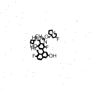 C#Cc1c(F)ccc2cc(O)cc(-c3cc4c5c(nc(OC[C@@]67CCCN6C[C@H](F)C7)nc5c3F)N(C)[C@@H]3CC[C@@H]3O4)c12